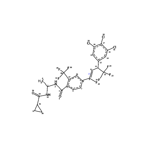 CC(NC(=O)c1ccc(/C(F)=C/C(c2cc(Cl)c(Cl)c(Cl)c2)C(F)(F)F)cc1C(F)(F)F)NC(=O)C1CC1